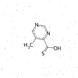 Cc1cncnc1C(O)=S